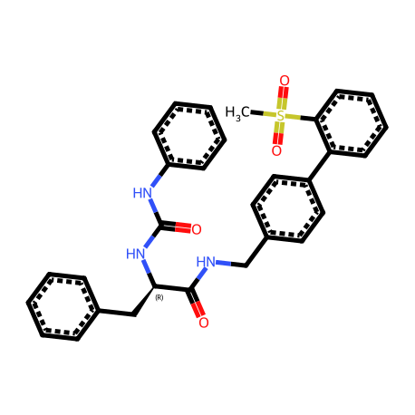 CS(=O)(=O)c1ccccc1-c1ccc(CNC(=O)[C@@H](Cc2ccccc2)NC(=O)Nc2ccccc2)cc1